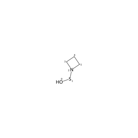 OSN1CCC1